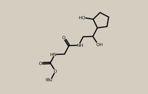 CC(C)(C)OC(=O)NCC(=O)NCC(O)C1CCCC1O